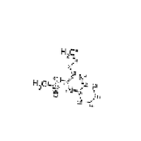 C=CCc1nc2c(nc1OC(C)=O)CCCC2